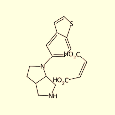 O=C(O)/C=C\C(=O)O.c1cc2cc(N3CCC4CNCC43)ccc2s1